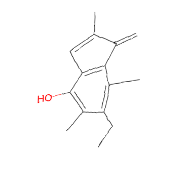 C=C1C(C)=Cc2c(O)c(C)c(CC)c(C)c21